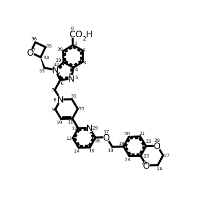 O=C(O)c1ccc2nc(CN3CC=C(c4cccc(OCc5ccc6c(c5)OCCO6)n4)CC3)n(C[C@@H]3CCO3)c2c1